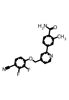 Cc1cc(-c2cc(COc3ccc(C#N)c(F)c3F)ccn2)ccc1C(N)=O